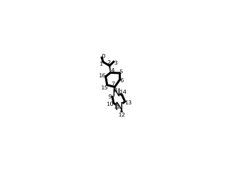 CCC(C)[C@H]1CC[C@H](N2CCN(C)CC2)CC1